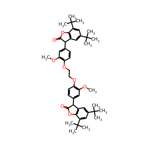 COc1cc(C2C(=O)Oc3c2cc(C(C)(C)C)cc3C(C)(C)C)ccc1OCCOc1ccc(C2C(=O)Oc3c2cc(C(C)(C)C)cc3C(C)(C)C)cc1OC